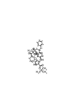 CC(C)(C)OC(=O)c1nc(C[C@H](NC(=O)[C@H](Cc2ccccc2)CS(=O)(=O)C(C)(C)C(=O)N2CCOCC2)C(=O)O)c[nH]1